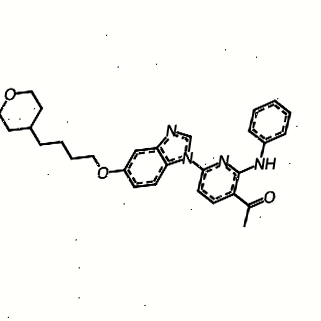 CC(=O)c1ccc(-n2cnc3cc(OCCCCC4CCOCC4)ccc32)nc1Nc1ccccc1